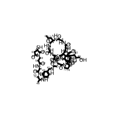 CC[C@H](C)C1NC(=O)CNC(=O)[C@@H]2Cc3c([nH]c4ccccc34)[S+]([O-])C(NC(=O)CNC1=O)C(=O)N[C@@H](CC(=O)NCc1ccc(NC(C)[C@H](C)NC(=O)CNC(=O)CCN3C(=O)CC(S)C3=O)cc1)C(=O)N1CCC[C@H]1C(=O)NC([C@@H](C)[C@@H](O)CO)C(=O)N2